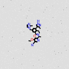 CCOc1cc(C(C)N2CCc3c(cc(Cn4ccnc4C)cc3-c3c[nH]nc3C)C2=O)ncc1C#N